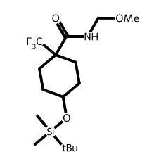 COCNC(=O)C1(C(F)(F)F)CCC(O[Si](C)(C)C(C)(C)C)CC1